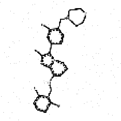 Cc1nc2c(OCc3c(F)cccc3F)cccn2c1-c1ccc(CN2CCOCC2)c(F)c1